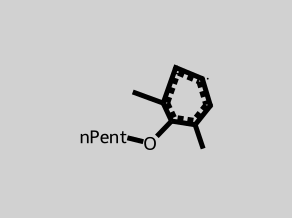 CCCCCOc1c(C)c[c]cc1C